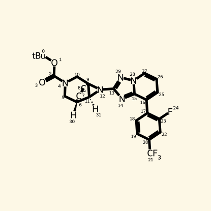 CC(C)(C)OC(=O)N1C[C@@H]2CC[C@]3(C1)[C@H]2N3c1nc2c(-c3ccc(C(F)(F)F)cc3F)cccn2n1